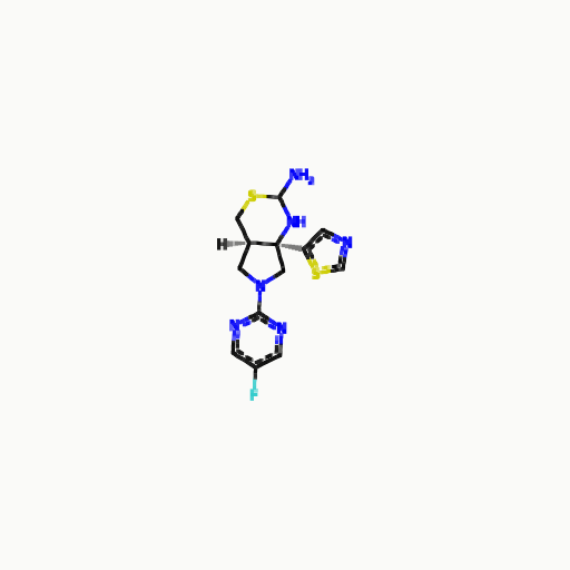 NC1N[C@@]2(c3cncs3)CN(c3ncc(F)cn3)C[C@H]2CS1